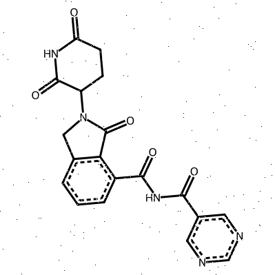 O=C1CCC(N2Cc3cccc(C(=O)NC(=O)c4cncnc4)c3C2=O)C(=O)N1